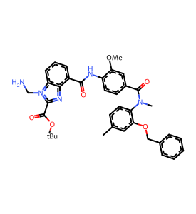 COc1cc(C(=O)N(C)c2ccc(C)cc2OCc2ccccc2)ccc1NC(=O)c1cccc2c1nc(C(=O)OC(C)(C)C)n2CN